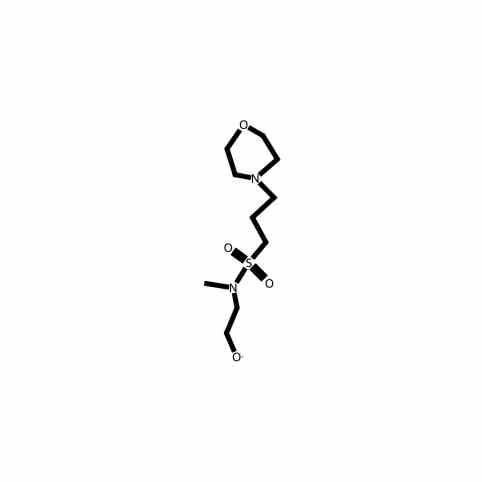 CN(CC[O])S(=O)(=O)CCCN1CCOCC1